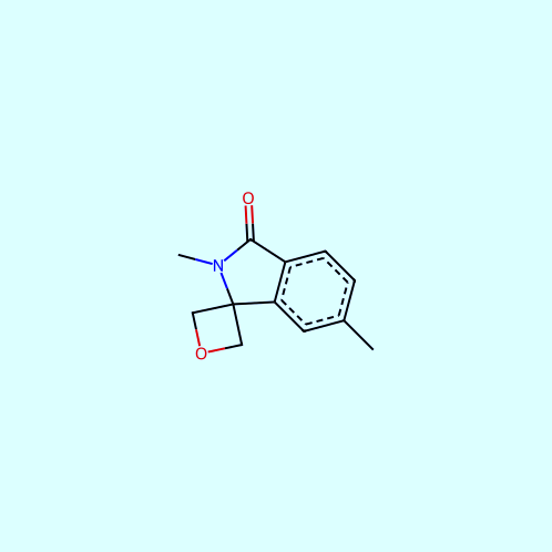 Cc1ccc2c(c1)C1(COC1)N(C)C2=O